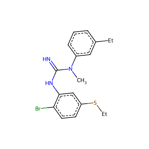 CCSc1ccc(Br)c(NC(=N)N(C)c2cccc(CC)c2)c1